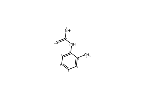 Cc1ccccc1NC([NH])=S